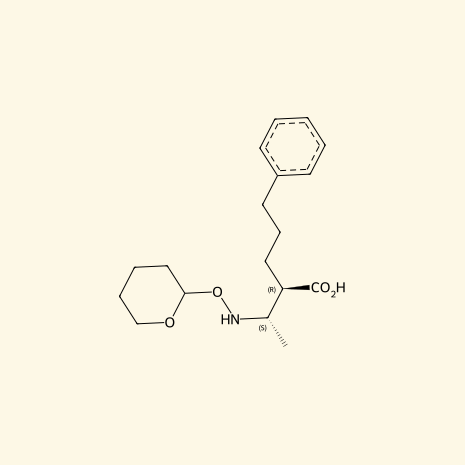 C[C@H](NOC1CCCCO1)[C@@H](CCCc1ccccc1)C(=O)O